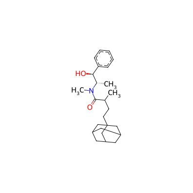 CC(CCC12CC3CC(CC(C3)C1)C2)C(=O)N(C)[C@@H](C)[C@@H](O)c1ccccc1